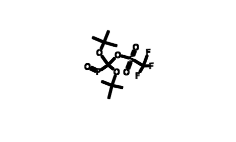 CC(C)(C)OC(OC(C)(C)C)(OS(=O)(=O)C(F)(F)F)P=O